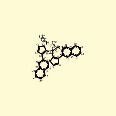 C[Si](C)=[Zr+2]([C]1=C(c2ccc3ccccc3c2)C=CC1)[C]1=C(c2ccc3ccccc3c2)C=CC1.[Cl-].[Cl-]